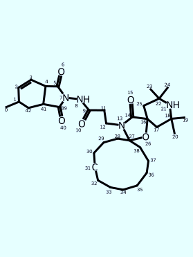 CC1C=CC2C(=O)N(NC(=O)CCN3C(=O)C4(CC(C)(C)NC(C)(C)C4)OC34CCCCCCCCCCC4)C(=O)C2C1